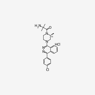 C[C@H]1CN(c2nnc(-c3ccc(Cl)cc3)c3ccccc23)CCN1C(=O)C(C)(C)N.Cl